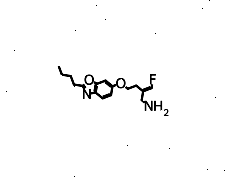 CCCCc1nc2ccc(OCC/C(=C\F)CN)cc2o1